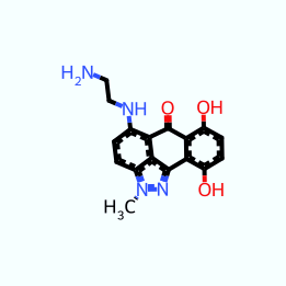 Cn1nc2c3c(c(NCCN)ccc31)C(=O)c1c(O)ccc(O)c1-2